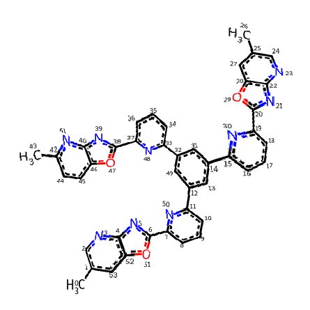 Cc1cnc2nc(-c3cccc(-c4cc(-c5cccc(-c6nc7ncc(C)cc7o6)n5)cc(-c5cccc(-c6nc7nc(C)ccc7o6)n5)c4)n3)oc2c1